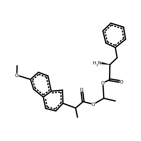 COc1ccc2cc(C(C)C(=O)OC(C)OC(=O)[C@@H](N)Cc3ccccc3)ccc2c1